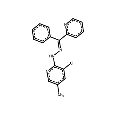 FC(F)(F)c1cnc(N/N=C(\c2ccccc2)c2ccccn2)c(Cl)c1